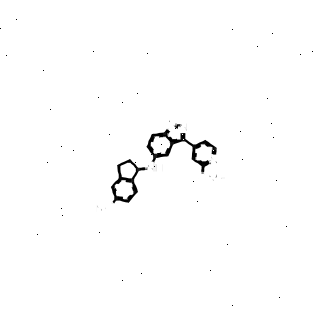 COc1cc(-c2n[nH]c3ccc(NC4CCc5cc(C#N)ccc54)cc23)ccn1